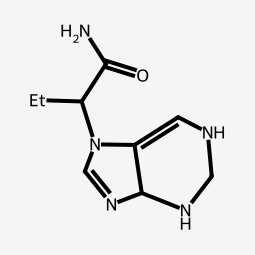 CCC(C(N)=O)N1C=NC2NCNC=C21